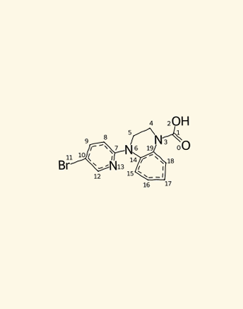 O=C(O)N1CCN(c2ccc(Br)cn2)c2ccccc21